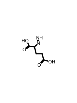 N=NC(CCC(=O)O)C(=O)O